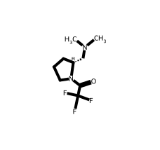 CN(C)C[C@H]1CCCN1C(=O)C(F)(F)F